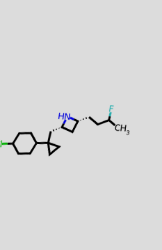 CC(F)CC[C@@H]1C[C@H](CC2(C3CCC(Cl)CC3)CC2)N1